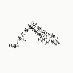 CC(=O)[O-].CC(=O)[O-].CC(=O)[O-].CC(=O)[O-].CC(=O)[O-].CC(=O)[O-].CC(=O)[O-].CC(=O)[O-].CC(=O)[O-].CC(=O)[O-].CC(=O)[O-].CC(=O)[O-].NCCN.NCCN.NCCN.[Ni+3].[Ni+3].[Ni+3].[Ni+3]